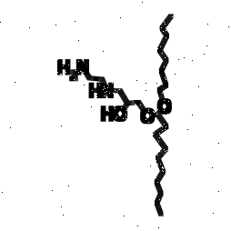 CCCCCCCCCC(OCCCCCCCC)OCC(O)CNCCN